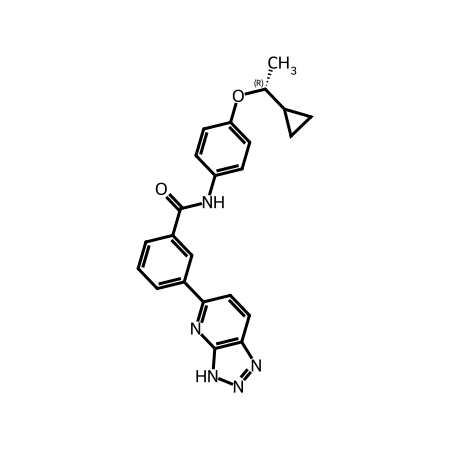 C[C@@H](Oc1ccc(NC(=O)c2cccc(-c3ccc4nn[nH]c4n3)c2)cc1)C1CC1